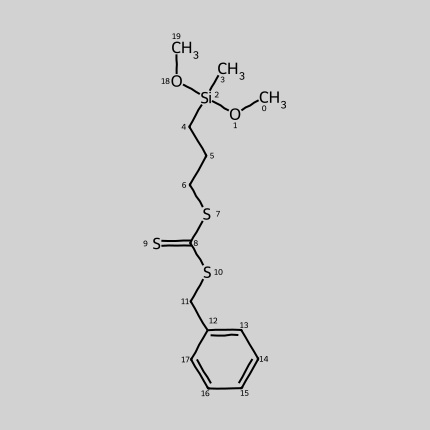 CO[Si](C)(CCCSC(=S)SCc1ccccc1)OC